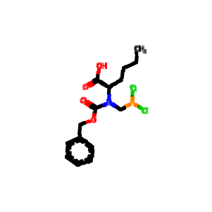 CCCCC(C(=O)O)N(CP(Cl)Cl)C(=O)OCc1ccccc1